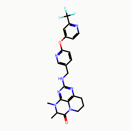 CC1C(=O)N2CCCc3nc(NCc4ccc(Oc5ccnc(C(F)(F)F)c5)nc4)nc(c32)N1C